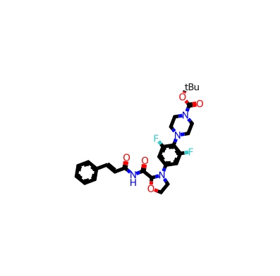 CC(C)(C)OC(=O)N1CCN(c2c(F)cc(N3CCOC3C(=O)NC(=O)C=Cc3ccccc3)cc2F)CC1